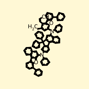 C=Cc1cc(N(c2ccccc2)c2cc3c(c4ccccc24)-c2ccc(N(c4ccccc4)c4cc5ccccc5c5c4oc4c(-c6ccccc6)cccc45)cc2C3(c2ccccc2)c2ccccc2)c2oc3c(-c4ccccc4)cccc3c2c1/C=C\C